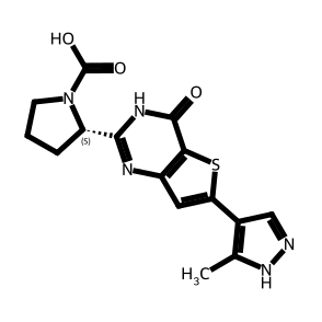 Cc1[nH]ncc1-c1cc2nc([C@@H]3CCCN3C(=O)O)[nH]c(=O)c2s1